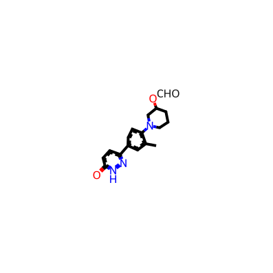 Cc1cc(-c2ccc(=O)[nH]n2)ccc1N1CCCC(OC=O)C1